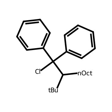 CCCCCCCCC(C(C)(C)C)C(Cl)(c1ccccc1)c1ccccc1